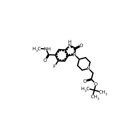 CNC(=O)c1cc2[nH]c(=O)n(C3CCN(CC(=O)OC(C)(C)C)CC3)c2cc1F